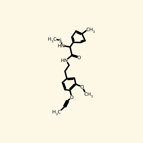 CC#COc1ccc(CCNC(=O)C(NSC)c2ccc(C)cc2)cc1OC